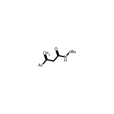 C=C(CC(=O)NCCCC)C(C)=O